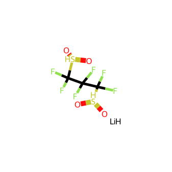 O=[SH](=O)C(F)(F)C(F)(F)C(F)(F)[SH](=O)=O.[LiH]